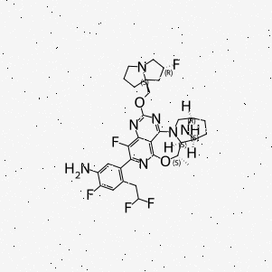 C[C@@H]1Oc2nc(-c3cc(N)c(F)cc3CC(F)F)c(F)c3nc(OC[C@@]45CCCN4C[C@H](F)C5)nc(c23)N2C[C@H]3CC[C@H](N3)[C@@H]12